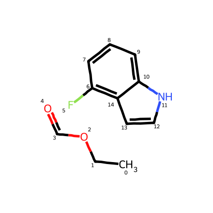 CCOC=O.Fc1cccc2[nH]ccc12